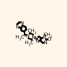 C[C@@H]1CN(n2cc3c(cnc(=O)n3C)n2)[C@@H](C)CN1[C@@H](C)c1ccc2nccnc2c1